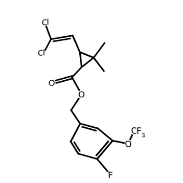 CC1(C)C(C=C(Cl)Cl)C1C(=O)OCc1ccc(F)c(OC(F)(F)F)c1